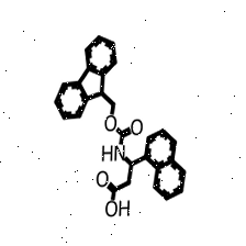 O=C(O)CC(NC(=O)OCC1c2ccccc2-c2ccccc21)c1cccc2ccccc12